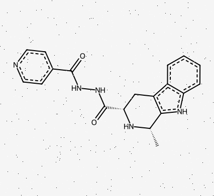 C[C@@H]1N[C@H](C(=O)NNC(=O)c2ccncc2)Cc2c1[nH]c1ccccc21